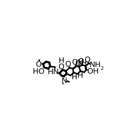 COc1ccc(CNc2cc(N(C)C)c3c(c2O)C(=O)C2=C(O)[C@]4(O)C(=O)C(C(N)=O)=C(O)C[C@@H]4C[C@@H]2C3)cc1O